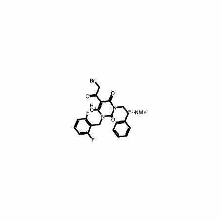 CN[C@@H](Cn1c(=O)c(C(=O)CBr)c(C)n(Cc2c(F)cccc2F)c1=O)c1ccccc1